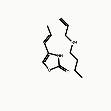 C=CCNCCCC.CC=Cc1coc(=O)[nH]1